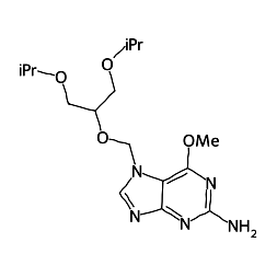 COc1nc(N)nc2ncn(COC(COC(C)C)COC(C)C)c12